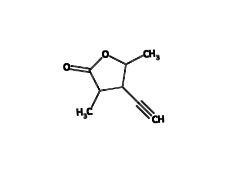 C#CC1C(C)OC(=O)C1C